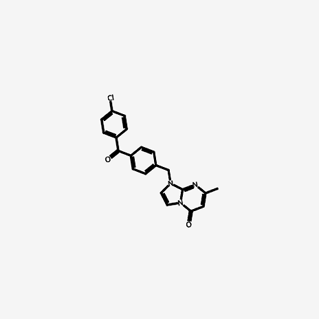 Cc1cc(=O)n2ccn(Cc3ccc(C(=O)c4ccc(Cl)cc4)cc3)c2n1